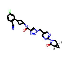 N#Cc1ccc(Cl)cc1C1CC(NC(=O)c2cn(Cc3cnc(N4C[C@H]5C[C@H]5C4=O)nc3)nn2)C1